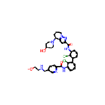 O=C(Nc1cccc(-c2cccc(NC(=O)c3cc4n(n3)CCCC4N3CCC(O)CC3)c2Cl)c1Cl)c1ccc(CNCCO)cn1